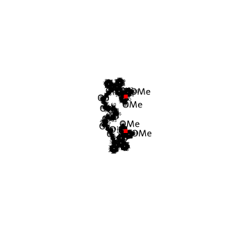 COc1ccc(C2(c3ccc(OC)cc3)C=Cc3c4c(c5ccccc5c3O2)-c2ccccc2C4(C)OCCOC(=O)CCC(=O)C(C)(C)OC(C)CC(C)(C)OC(C)(C)CC(C)OC(C)(C)C(=O)CCC(=O)OCCOC2(C)c3ccccc3-c3c2c2c(c4ccccc34)OC(c3ccc(OC)cc3)(c3ccc(OC)cc3)C=C2)cc1